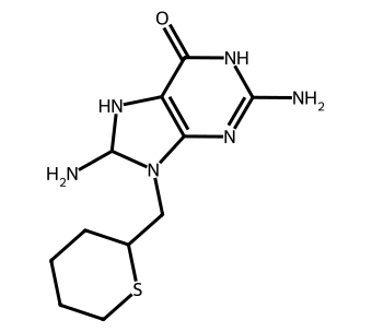 Nc1nc2c(c(=O)[nH]1)NC(N)N2CC1CCCCS1